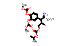 CCCCOC(=O)Oc1ccc(C(C(C)COC(=O)OC(C)C(C)C)[C@H](N)C(=O)O)cc1OC(=O)OCCCC